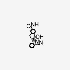 CNC(=O)c1ccc2c(c1)CC[C@@H]([C@H]1c3ccccc3-c3cncn31)[C@@H]2O